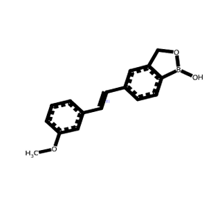 COc1cccc(/C=C/c2ccc3c(c2)COB3O)c1